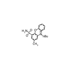 CCCCNc1cc(C)cc(S(N)(=O)=O)c1Oc1ccccc1